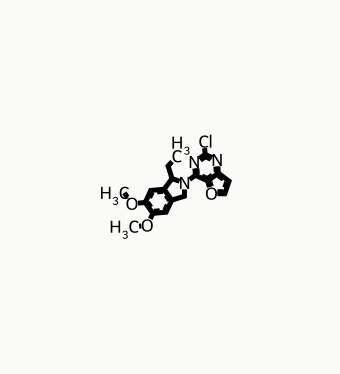 CCC1c2cc(OC)c(OC)cc2CN1c1nc(Cl)nc2ccoc12